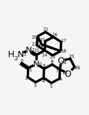 C=C1CCC2CCC3(CC2N1/C(=N\N)C12CC4CC(CC(C4)C1)C2)OCCO3